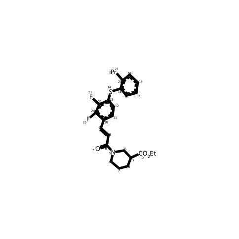 CCOC(=O)C1CCCN(C(=O)C=Cc2ccc(Sc3ccccc3C(C)C)c(F)c2F)C1